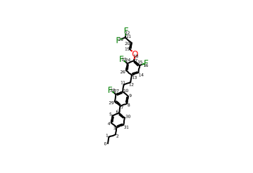 CCCc1ccc(-c2ccc(CCc3cc(F)c(O/C=C/C(F)F)c(F)c3)c(F)c2)cc1